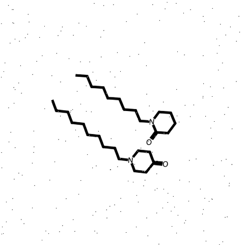 CCCCCCCCCCN1CCC(=O)CC1.CCCCCCCCCN1CCCCC1=O